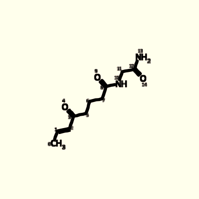 C/C=C/C(=O)CCCC(=O)NCC(N)=O